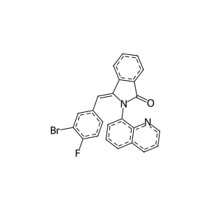 O=C1c2ccccc2/C(=C/c2ccc(F)c(Br)c2)N1c1cccc2cccnc12